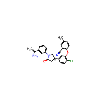 C=C(N)c1cccc(N2C[C@@H](c3ccc(Cl)c(Oc4ccc(C)cc4C#N)c3)CC2=O)c1